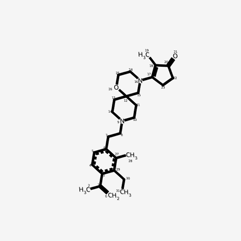 C=C(C)c1ccc(CCN2CCC3(CC2)CN(C2=C(C)C(=O)CC2)CCO3)c(C)c1CC